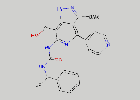 COc1n[nH]c2c(CO)c(NC(=O)NC(C)c3ccccc3)nc(-c3ccncc3)c12